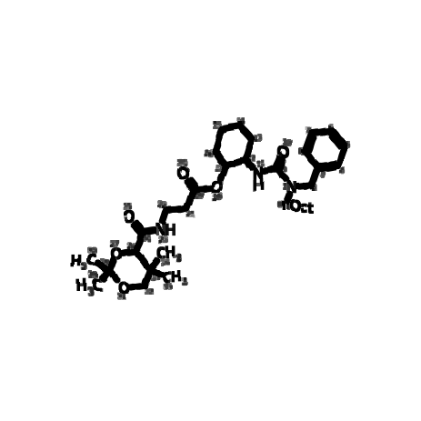 CCCCCCCCN(Cc1ccccc1)C(=O)NC1CCCCC1OC(=O)CCNC(=O)C1OC(C)(C)OCC1(C)C